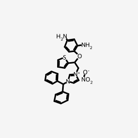 Nc1ccc(OC(C[n+]2ccn(C(c3ccccc3)c3ccccc3)c2)c2cccs2)c(N)c1.O=[N+]([O-])[O-]